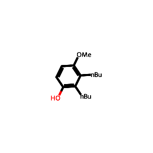 CCCCc1c(O)ccc(OC)c1CCCC